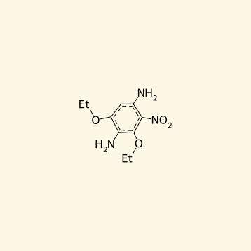 CCOc1cc(N)c([N+](=O)[O-])c(OCC)c1N